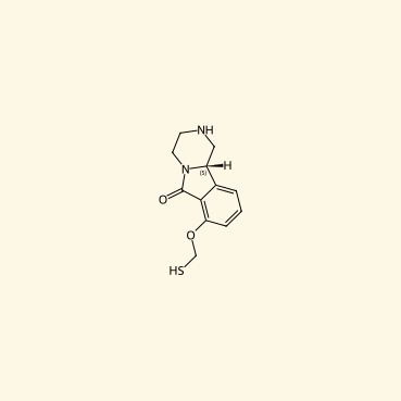 O=C1c2c(OCS)cccc2[C@H]2CNCCN12